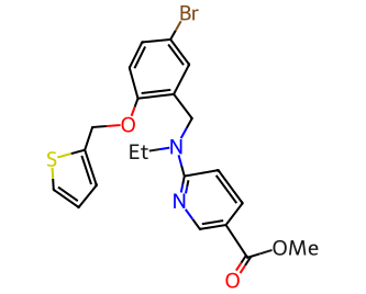 CCN(Cc1cc(Br)ccc1OCc1cccs1)c1ccc(C(=O)OC)cn1